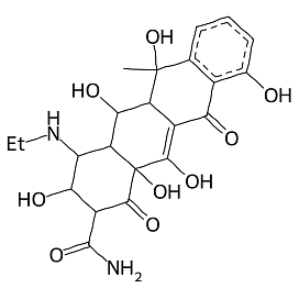 CCNC1C(O)C(C(N)=O)C(=O)C2(O)C(O)=C3C(=O)c4c(O)cccc4C(C)(O)C3C(O)C12